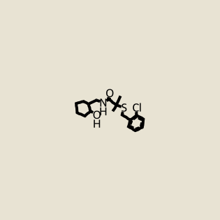 CC(C)(SCc1ccccc1Cl)C(=O)NCC1CCCCC1O